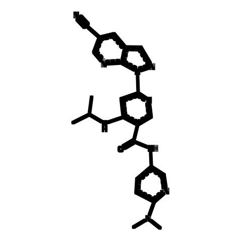 CC(C)Nc1cc(-n2ncc3cc(C#N)cnc32)ncc1C(=O)Nc1ccc(N(C)C)nc1